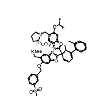 CNCc1cc2nc(C3(c4nc5cc(CN6CCC[C@H]6C(=O)O)c(OC(F)F)cc5o4)C=CC=C(c4ccccc4C)C3C)oc2cc1OCc1cccc(S(C)(=O)=O)c1